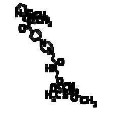 CCOC(=S)SC(C)(C)C(=O)OCCNC(=O)CCN1CCN(c2ccc(C(=O)C(CC)(Cc3ccccc3)N(C)C)cc2)CC1